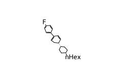 CCCCCC[C@H]1CC[C@H](C2C=CC(c3ccc(F)cc3)=CC2)CC1